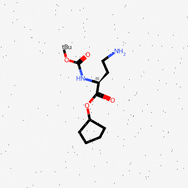 CC(C)(C)OC(=O)N[C@@H](CCN)C(=O)OC1CCCC1